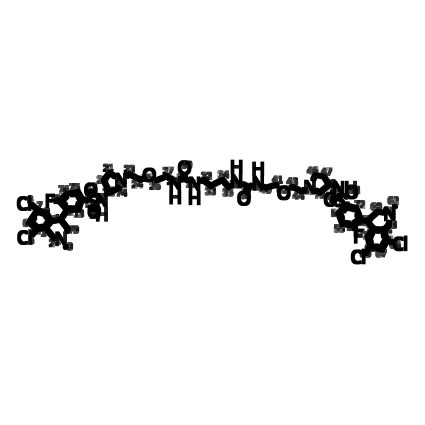 CN1Cc2c(Cl)cc(Cl)cc2C(c2cc(S(=O)(=O)N[C@H]3CCN(CCOCCNC(=O)NCCCCNC(=O)NCCOCCN4CC[C@H](NS(=O)(=O)c5ccc(F)c(C6CN(C)Cc7c(Cl)cc(Cl)cc76)c5)C4)C3)ccc2F)C1